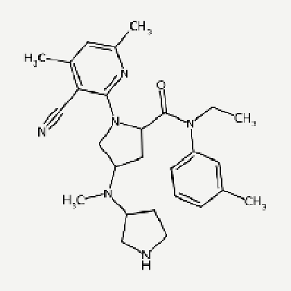 CCN(C(=O)C1CC(N(C)C2CCNC2)CN1c1nc(C)cc(C)c1C#N)c1cccc(C)c1